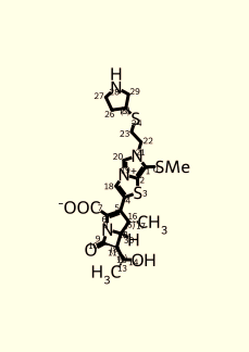 CSc1c2sc(C3=C(C(=O)[O-])N4C(=O)[C@H]([C@@H](C)O)[C@H]4[C@H]3C)c[n+]2cn1CCS[C@H]1CCNC1